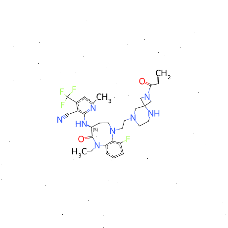 C=CC(=O)N1CC2(CN(CCN3CC[C@H](Nc4nc(C)cc(C(F)(F)F)c4C#N)C(=O)N(CC)c4cccc(F)c43)CCN2)C1